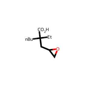 CCCCC(CC)(CC1CO1)C(=O)O